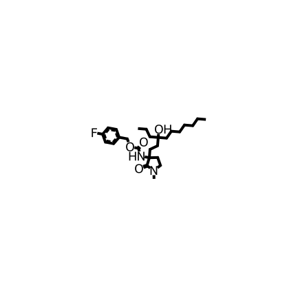 CCCCCCCC(O)(CCC)CCC1(NC(=O)OCc2ccc(F)cc2)CCN(C)C1=O